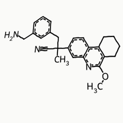 COc1nc2cc(C(C)(C#N)Cc3cccc(CN)c3)ccc2c2c1CCCC2